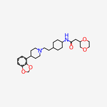 O=C(CC1COCCO1)NC1CCC(CCN2CCC(c3cccc4c3OCO4)CC2)CC1